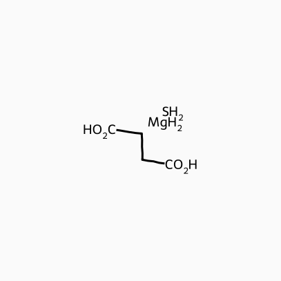 O=C(O)CCC(=O)O.S.[MgH2]